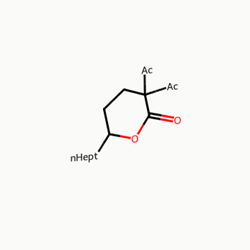 CCCCCCCC1CCC(C(C)=O)(C(C)=O)C(=O)O1